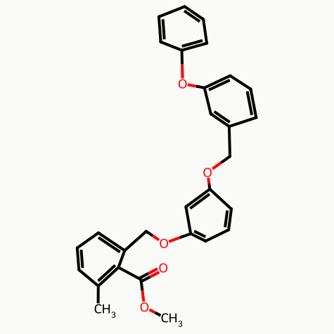 COC(=O)c1c(C)cccc1COc1cccc(OCc2cccc(Oc3ccccc3)c2)c1